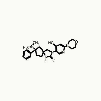 CN(C)C1(c2ccccc2)CCC2(CC1)CN(c1cnc(N3CCOCC3)cc1C#N)C(=O)N2